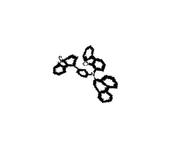 c1cc(-c2cccc3sc4ccccc4c23)cc(N(c2cc3ccccc3c3ccccc23)c2cccc3c2oc2ccccc23)c1